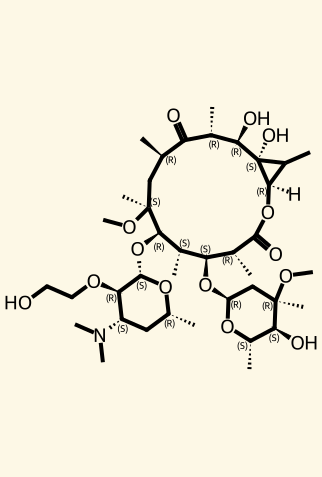 CO[C@]1(C)C[C@H](O[C@H]2[C@H](C)[C@@H](O[C@@H]3O[C@H](C)C[C@H](N(C)C)[C@H]3OCCO)[C@@](C)(OC)C[C@@H](C)C(=O)[C@H](C)[C@@H](O)[C@@]3(O)C(C)[C@H]3OC(=O)[C@@H]2C)O[C@@H](C)[C@@H]1O